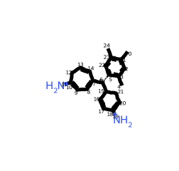 Cc1cc(C)c([C@@H](C2=CC=C(N)CC=C2)C2C=CC(N)=CC2)cc1C